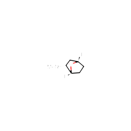 CN[C@@H]1C[C@@H]2CC[C@H]1O2